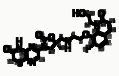 C[C@]1(CNCCOc2c(F)ccc3ccc(=O)n(CCO)c23)CN(c2cnc3c(n2)NC(=O)CS3)C(=O)O1